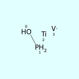 OP.[Ti].[V]